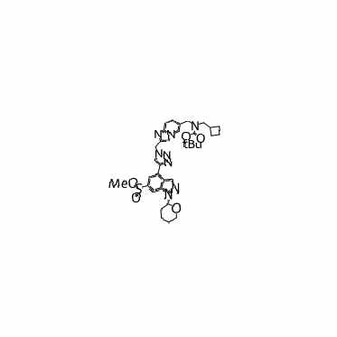 COS(=O)c1cc(-c2cn(Cc3cn4cc(CN(CC5CCC5)C(=O)OC(C)(C)C)ccc4n3)nn2)c2cnn(C3CCCCO3)c2c1